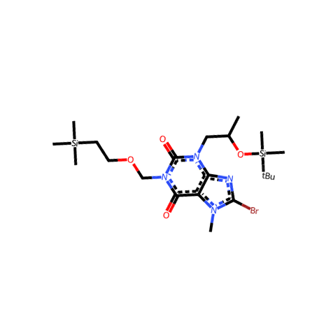 CC(Cn1c(=O)n(COCC[Si](C)(C)C)c(=O)c2c1nc(Br)n2C)O[Si](C)(C)C(C)(C)C